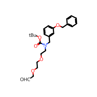 CC(C)(C)OC(=O)N(CCOCCOCC=O)Cc1cccc(OCc2ccccc2)c1